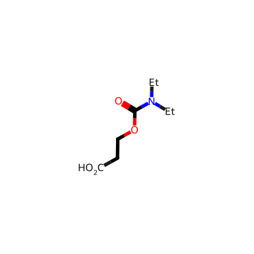 CCN(CC)C(=O)OCCC(=O)O